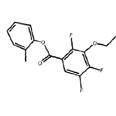 CCOc1c(F)c(F)cc(C(=O)Oc2ccccc2C)c1F